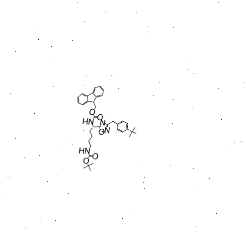 CC(C)(C)OC(=O)NCCCCC(NC(=O)OCC1c2ccccc2-c2ccccc21)c1nc(Cc2ccc(C(C)(C)C)cc2)no1